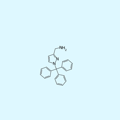 NCc1ccn(C(c2ccccc2)(c2ccccc2)c2ccccc2)n1